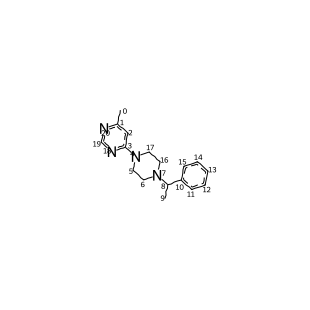 Cc1cc(N2CCN(C(C)c3ccccc3)CC2)ncn1